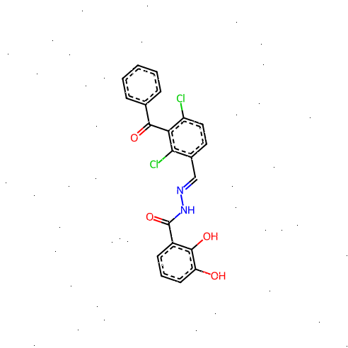 O=C(N/N=C/c1ccc(Cl)c(C(=O)c2ccccc2)c1Cl)c1cccc(O)c1O